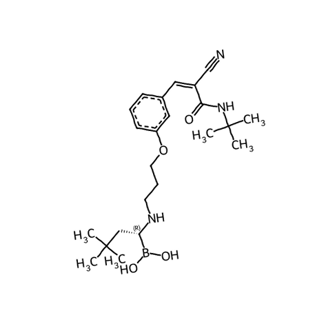 CC(C)(C)C[C@H](NCCCOc1cccc(C=C(C#N)C(=O)NC(C)(C)C)c1)B(O)O